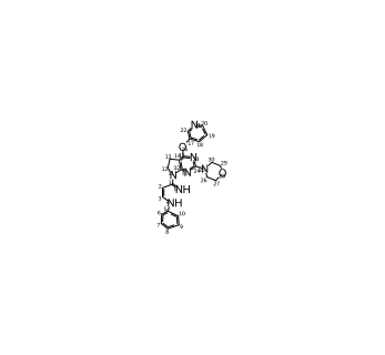 N=C(/C=C\Nc1ccccc1)N1CCc2c(Oc3cccnc3)nc(N3CCOCC3)nc21